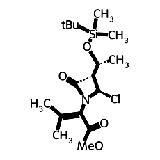 COC(=O)C(=C(C)C)N1C(=O)[C@H]([C@@H](C)O[Si](C)(C)C(C)(C)C)[C@H]1Cl